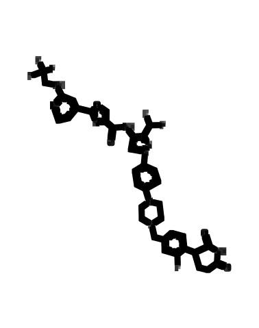 O=C1CCC(c2ccc(CN3CCN(c4ccc(-n5cc(NC(=O)c6coc(-c7ccnc(NCC(F)(F)F)c7)n6)c(C(F)F)n5)cc4)CC3)cc2F)C(=O)N1